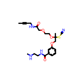 CC#CCNC(=O)COCCOC(C)(COc1cccc(C(=O)NCCNC)c1)SC#N